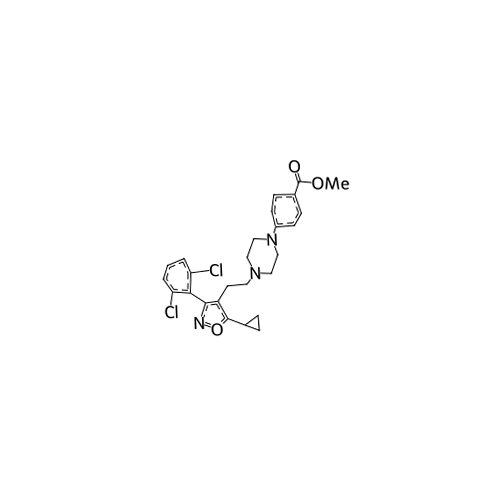 COC(=O)c1ccc(N2CCN(CCc3c(-c4c(Cl)cccc4Cl)noc3C3CC3)CC2)cc1